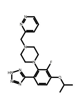 CC(C)Oc1ccc(-c2nn[nH]n2)c(N2CCN(Cc3cccnn3)CC2)c1F